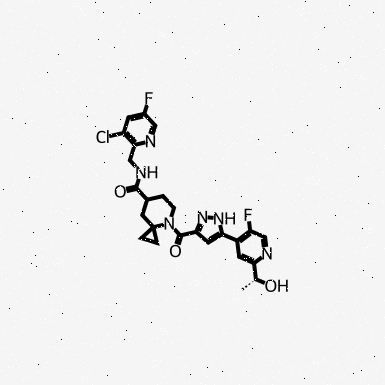 C[C@@H](O)c1cc(-c2cc(C(=O)N3CCC(C(=O)NCc4ncc(F)cc4Cl)CC34CC4)n[nH]2)c(F)cn1